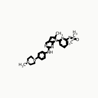 Cc1cc2cnc(Nc3ccc(N4CCN(C)CC4)cc3)nc2n1-c1cccc(N=S(C)(C)=O)n1